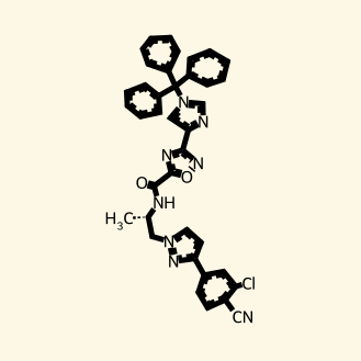 C[C@@H](Cn1ccc(-c2ccc(C#N)c(Cl)c2)n1)NC(=O)c1nc(-c2cn(C(c3ccccc3)(c3ccccc3)c3ccccc3)cn2)no1